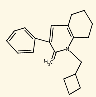 C=C1C(c2ccccc2)=CC2=C(CCCC2)N1CC1CCC1